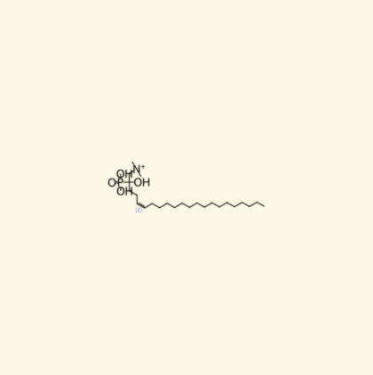 CCCCCCCCCCCCCCCC/C=C\CCC(O)(C[N+](C)(C)C)P(=O)(O)O